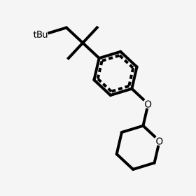 CC(C)(C)CC(C)(C)c1ccc(OC2CCCCO2)cc1